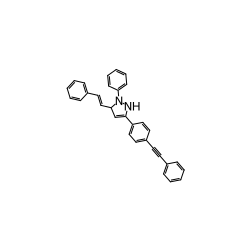 C(#Cc1ccc(C2=CC(C=Cc3ccccc3)N(c3ccccc3)N2)cc1)c1ccccc1